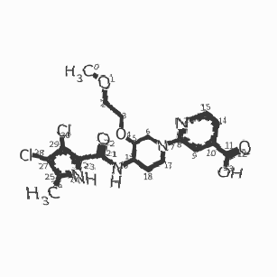 COCCOC1CN(c2cc(C(=O)O)ccn2)CCC1NC(=O)c1[nH]c(C)c(Cl)c1Cl